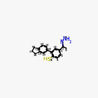 CC(=NN)c1ccc(S)c(-c2ccc3c(c2)CCC3)c1